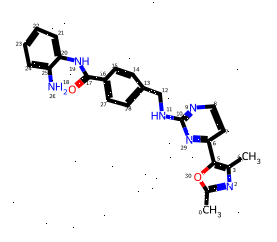 Cc1nc(C)c(-c2ccnc(NCc3ccc(C(=O)Nc4ccccc4N)cc3)n2)o1